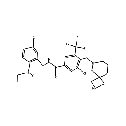 CC[S+]([O-])c1ccc(Cl)cc1CNC(=O)c1cc(Cl)c(CN2CCOC3(CNC3)C2)c(C(F)(F)F)c1